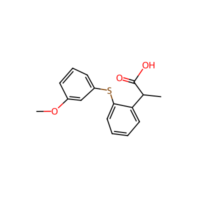 COc1cccc(Sc2ccccc2C(C)C(=O)O)c1